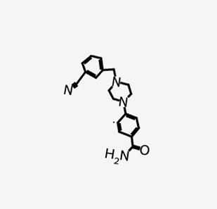 N#Cc1cccc(CN2CCN(c3[c]cc(C(N)=O)cc3)CC2)c1